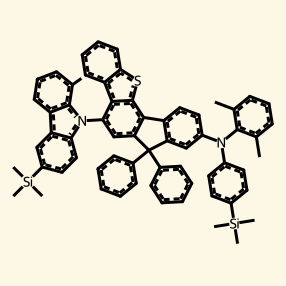 Cc1cccc(C)c1N(c1ccc([Si](C)(C)C)cc1)c1ccc2c(c1)C(c1ccccc1)(c1ccccc1)c1cc(-n3c4ccc([Si](C)(C)C)cc4c4cccc(C)c43)c3c(sc4ccccc43)c1-2